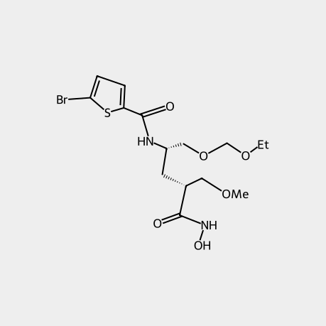 CCOCOC[C@H](C[C@H](COC)C(=O)NO)NC(=O)c1ccc(Br)s1